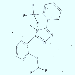 Cn1c(-c2ccccc2OC(F)F)nnc1-c1ccccc1C(F)(F)F